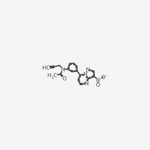 C#CCN(C(C)=O)c1cccc(-c2ccnc3c([N+](=O)[O-])cnn23)c1